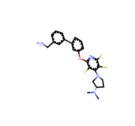 CN(C)[C@H]1CCN(c2c(F)c(F)nc(Oc3cccc(-c4cccc(CN)c4)c3)c2F)C1